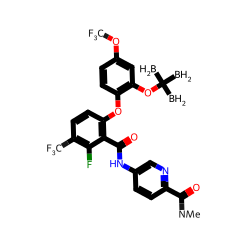 BC(B)(B)Oc1cc(OC(F)(F)F)ccc1Oc1ccc(C(F)(F)F)c(F)c1C(=O)Nc1ccc(C(=O)NC)nc1